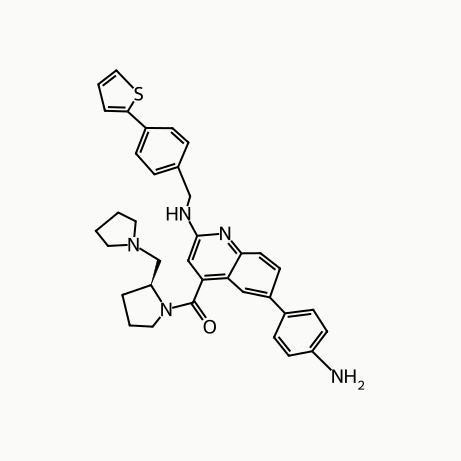 Nc1ccc(-c2ccc3nc(NCc4ccc(-c5cccs5)cc4)cc(C(=O)N4CCC[C@H]4CN4CCCC4)c3c2)cc1